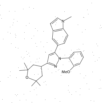 COc1ccccc1-n1nc(C2CC(C)(C)OC(C)(C)C2)cc1-c1ccc2c(ccn2C)c1